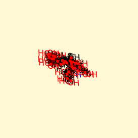 CC1O[C@@H](OC2C(O)[C@@H](NC(=O)CO[C@@H]3O[C@@H](CO)C(O)C3O)C(CO)O[C@H]2OC(=O)[C@]23CCC(C)(C)CC2C2=CCC4C5(C)CC[C@H](O[C@@H]6OC(C(=O)O)[C@@H](O)[C@H](O[C@@H]7OC[C@@H](O)[C@H](O)C7O)C6O[C@@H]6OC(CO)[C@H](O)[C@H](O)C6O)[C@](C)(C=O)[C@@H]5CC[C@]4(C)[C@]2(C)CC3O)C(O)C(O)[C@H]1O[C@@H]1OC[C@@H](O)C(O[C@@H]2OC[C@@](O)(CO)C2O)C1O